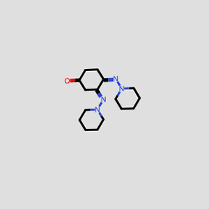 O=C1CCC(=NN2CCCCC2)C(=NN2CCCCC2)C1